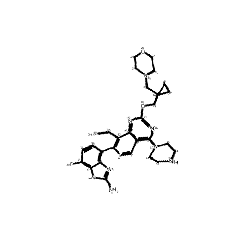 Nc1nc2c(-c3ncc4c(N5CCNCC5)nc(OCC5(CN6CCOCC6)CC5)nc4c3CF)ccc(F)c2s1